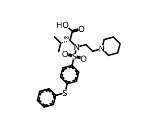 CC(C)[C@H](C(=O)O)N(CCN1CCCCC1)S(=O)(=O)c1ccc(Sc2ccccc2)cc1